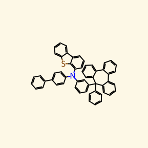 c1ccc(-c2ccc(N(c3cccc(C4(c5ccccc5)c5ccccc5-c5ccccc5-c5ccccc54)c3)c3cccc4c3sc3ccccc34)cc2)cc1